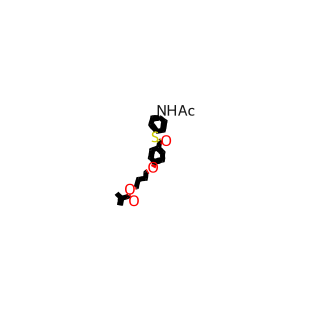 C=C(C)C(=O)OCCCCOc1ccc(C(=O)Sc2ccc(NC(C)=O)cc2)cc1